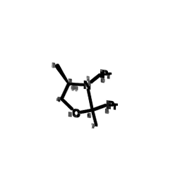 CC(C)N1[C@H](C)COC1(C)C(C)C